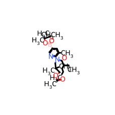 CCCC(CC)C(=O)N(CC(C)(C)COC(C)=O)c1ncc(B2OC(C)(C)C(C)(C)O2)cc1C